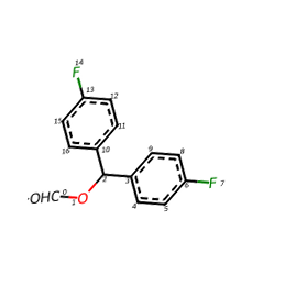 O=[C]OC(c1ccc(F)cc1)c1ccc(F)cc1